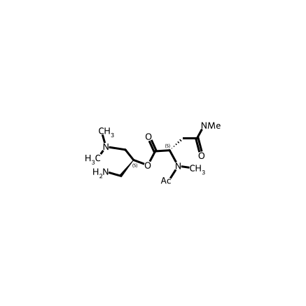 CNC(=O)C[C@@H](C(=O)O[C@@H](CN)CN(C)C)N(C)C(C)=O